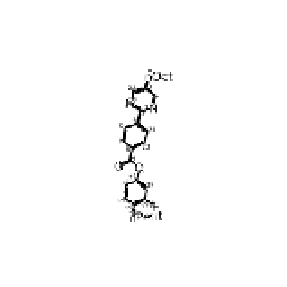 CCCCCCCCc1cnc(-c2ccc(C(=O)Oc3ccc(CCCCC)c(F)c3)cc2)nc1